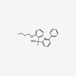 CCCCOc1ccccc1C(C)(O)c1cccc(-c2ccccc2)n1